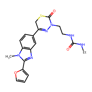 CCNC(=O)NCCN1N=C(c2ccc3c(c2)nc(-c2ccco2)n3C)CSC1=O